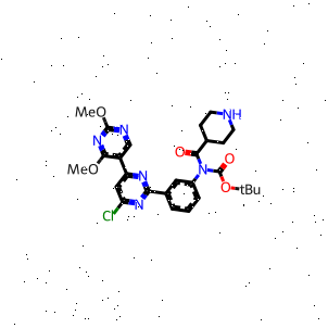 COc1ncc(-c2cc(Cl)nc(-c3cccc(N(C(=O)OC(C)(C)C)C(=O)C4CCNCC4)c3)n2)c(OC)n1